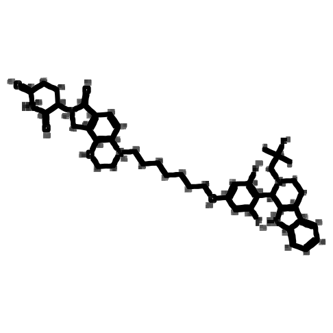 CC(C)(F)CN1CCc2c([nH]c3ccccc23)C1c1c(F)cc(OCCCCCCCN2CCOc3c2ccc2c3CN(C3CCC(=O)NC3=O)C2=O)cc1F